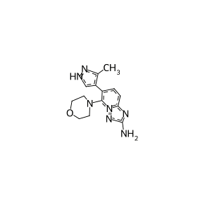 Cc1n[nH]cc1-c1ccc2nc(N)nn2c1N1CCOCC1